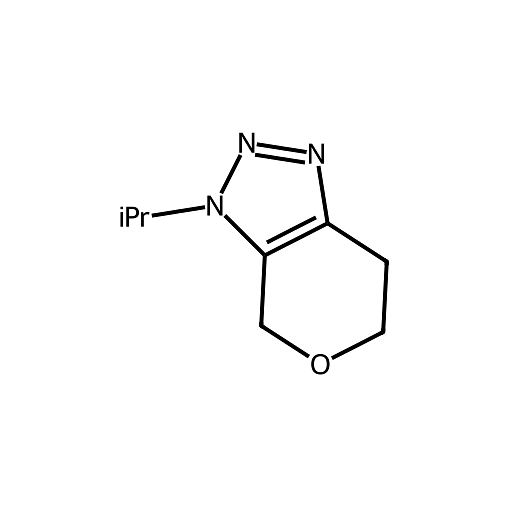 CC(C)n1nnc2c1COCC2